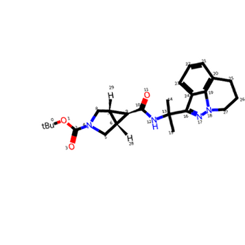 CC(C)(C)OC(=O)N1C[C@@H]2[C@H](C1)[C@H]2C(=O)NC(C)(C)c1nn2c3c(cccc13)CCC2